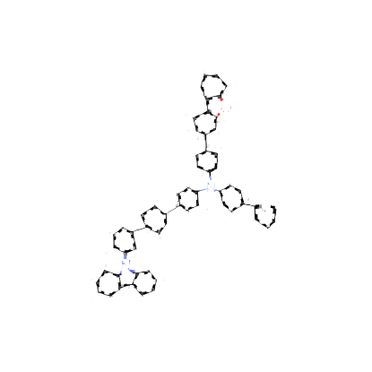 c1ccc(-c2ccc(N(c3ccc(-c4ccc(-c5cccc(-n6c7ccccc7c7ccccc76)c5)cc4)cc3)c3ccc(-c4ccc5c(c4)oc4ccccc45)cc3)cc2)cc1